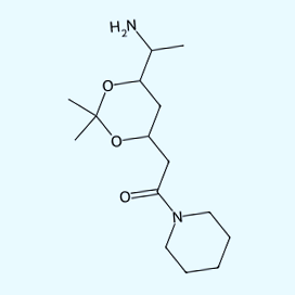 CC(N)C1CC(CC(=O)N2CCCCC2)OC(C)(C)O1